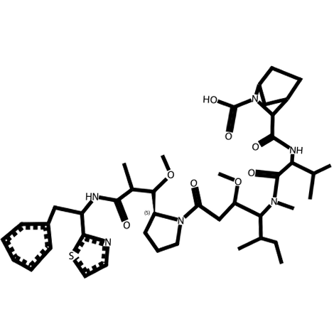 CCC(C)C(C(CC(=O)N1CCC[C@H]1C(OC)C(C)C(=O)NC(Cc1ccccc1)c1nccs1)OC)N(C)C(=O)C(NC(=O)C1C2CCC(C2)N1C(=O)O)C(C)C